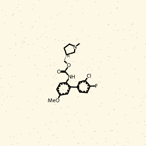 COc1ccc(NC(=O)OC[C@@H]2CCN(C)C2)c(-c2ccc(F)c(Cl)c2)c1